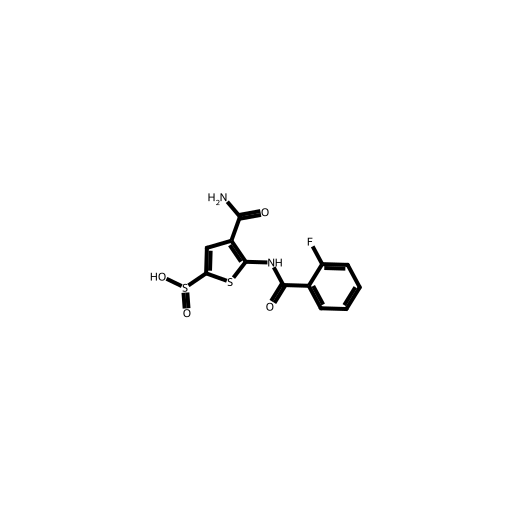 NC(=O)c1cc(S(=O)O)sc1NC(=O)c1ccccc1F